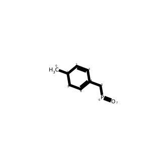 CC1C=CC(CP=O)=CC1